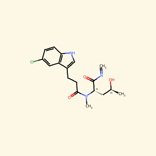 C=NC(=O)[C@H](C[C@H](C)O)N(C)C(=O)CCc1c[nH]c2ccc(Cl)cc12